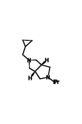 CC(C)N1C[C@H]2CN(CC3CC3)C[C@H]2C1